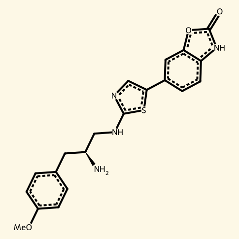 COc1ccc(C[C@H](N)CNc2ncc(-c3ccc4[nH]c(=O)oc4c3)s2)cc1